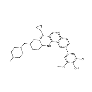 COc1cc(-c2ccc3ncc(C(=O)C4CC4)c(NC4CCC(CN5CCN(C)CC5)CC4)c3c2)cc(Cl)c1O